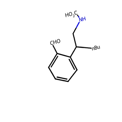 CCCCC(CNC(=O)O)c1ccccc1C=O